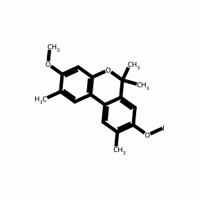 COc1cc2c(cc1C)-c1cc(C)c(OI)cc1C(C)(C)O2